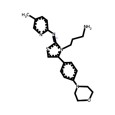 Cc1ccc(/N=c2\scc(-c3ccc(N4CCOCC4)cc3)n2CCCN)nc1